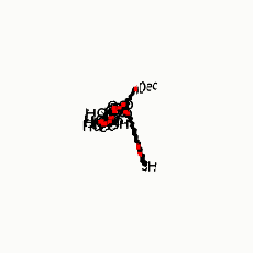 CCCCCCCCCCCCCCCC(=O)O[C@@H](COP(=O)(O)OC1C(O)[C@H](OP(=O)(O)O)C(OP(=O)(O)O)[C@H](O)[C@@H]1O)CC(=O)OCCCCCCCCCCCCCCCCS